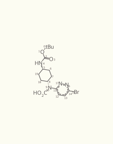 CC(C)(C)OC(=O)N[C@H]1CC[C@H](N(C(=O)O)c2ccc(Br)nn2)CC1